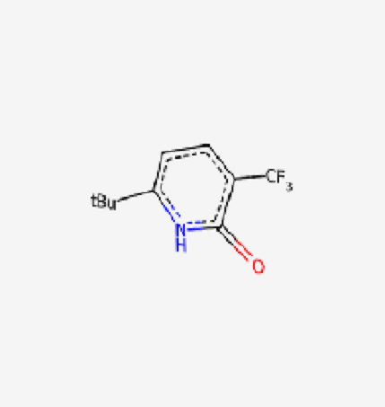 CC(C)(C)c1ccc(C(F)(F)F)c(=O)[nH]1